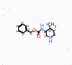 C[C@H]1CCNC[C@@H]1NC(=O)OCc1ccccc1